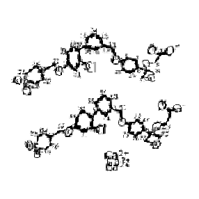 O=C([O-])COC1(c2ccc(OCc3cccc(-c4ccc(OCC5CCS([O-])([O-])CC5)cc4Cl)c3)cc2)COC1.O=C([O-])COC1(c2ccc(OCc3cccc(-c4ccc(OCC5CCS([O-])([O-])CC5)cc4Cl)c3)cc2)COC1.[Ca+2].[Ca+2].[Ca+2]